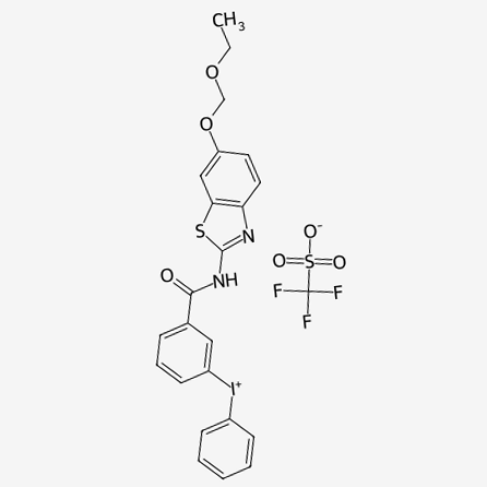 CCOCOc1ccc2nc(NC(=O)c3cccc([I+]c4ccccc4)c3)sc2c1.O=S(=O)([O-])C(F)(F)F